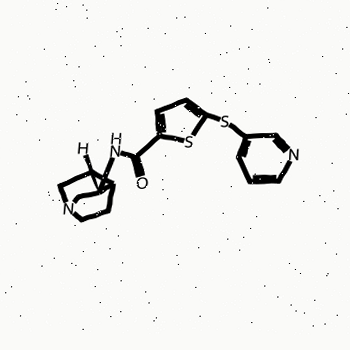 O=C(N[C@H]1CN2CCC1CC2)c1ccc(Sc2cccnc2)s1